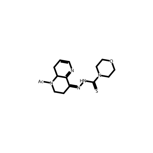 CC(=O)N1CC/C(=N/NC(=S)N2CCOCC2)C2=NC=CCC21